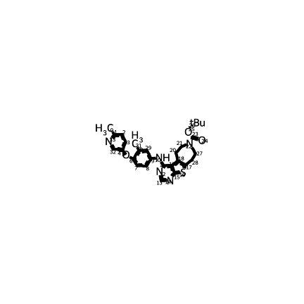 Cc1ccc(Oc2ccc(Nc3ncnc4sc5c(c34)CCN(C(=O)OC(C)(C)C)CC5)cc2C)cn1